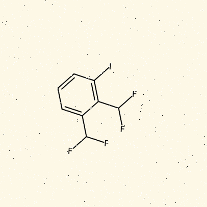 FC(F)c1cccc(I)c1C(F)F